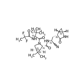 CC(F)(F)C(=O)N[C@H](C(=O)N1C[C@H]2[C@@H]([C@H]1C(=O)N[C@H](C#N)C[C@H]1C(=O)N[C@H]3C[C@H]31)C2(C)C)C(C)(C)C